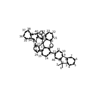 CC1(C)c2ccccc2-c2ccc(-c3cccc4c3Oc3ccccc3C43c4ccccc4-n4c5ccccc5c5cccc3c54)cc21